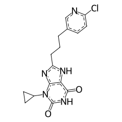 O=c1[nH]c(=O)n(C2CC2)c2nc(CCCc3ccc(Cl)nc3)[nH]c12